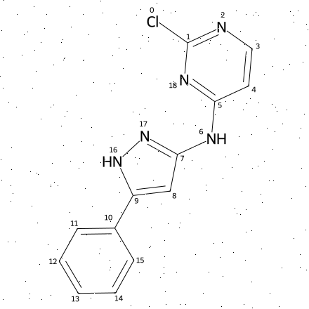 Clc1nccc(Nc2cc(-c3ccccc3)[nH]n2)n1